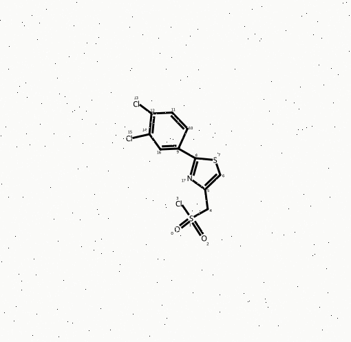 O=S(=O)(Cl)Cc1csc(-c2ccc(Cl)c(Cl)c2)n1